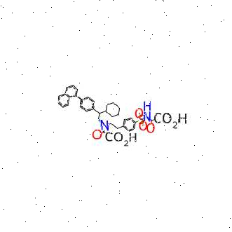 O=C(O)C(=O)NS(=O)(=O)c1ccc(CCN(CC(c2ccc(-c3cccc4ccccc34)cc2)C2CCCCC2)C(=O)C(=O)O)cc1